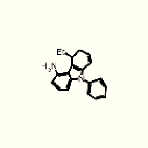 CCC1CC=Cc2c1c1c(N)cccc1n2-c1ccccc1